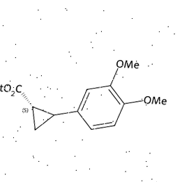 CCOC(=O)[C@H]1CC1c1ccc(OC)c(OC)c1